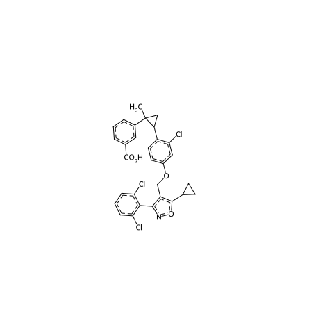 CC1(c2cccc(C(=O)O)c2)CC1c1ccc(OCc2c(-c3c(Cl)cccc3Cl)noc2C2CC2)cc1Cl